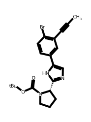 CC#Cc1cc(-c2cnc([C@@H]3CCCN3C(=O)OC(C)(C)C)[nH]2)ccc1Br